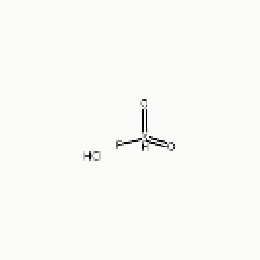 Cl.O=[SH](=O)F